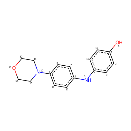 Oc1ccc(Nc2ccc(N3CCOCC3)cc2)cc1